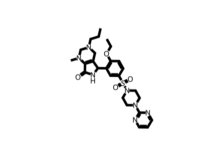 CCCN1CC2=C(C(=O)NC2c2cc(S(=O)(=O)N3CCN(c4ncccn4)CC3)ccc2OCC)N(C)C1